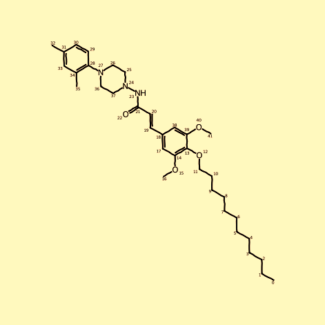 CCCCCCCCCCCCOc1c(OC)cc(/C=C/C(=O)NN2CCN(c3ccc(C)cc3C)CC2)cc1OC